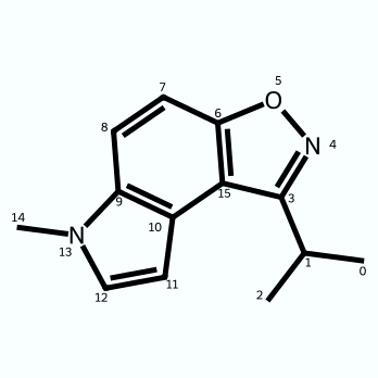 CC(C)c1noc2ccc3c(ccn3C)c12